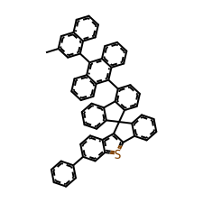 Cc1cc(-c2c3ccccc3c(-c3cccc4c3-c3ccccc3C43c4ccccc4-c4sc5cc(-c6ccccc6)ccc5c43)c3ccccc23)c2ccccc2c1